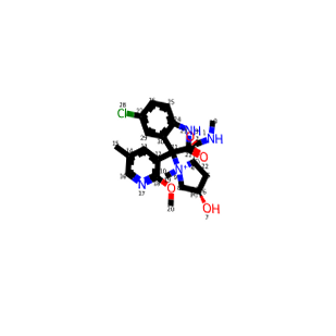 CNC(=O)[C@@H]1C[C@@H](O)C[N+]1(C)C1(c2cc(C)cnc2OC)C(=O)Nc2ccc(Cl)cc21